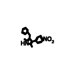 Cc1[nH]c(C)c(-c2ccc([N+](=O)[O-])cc2)c1Cc1ccccc1